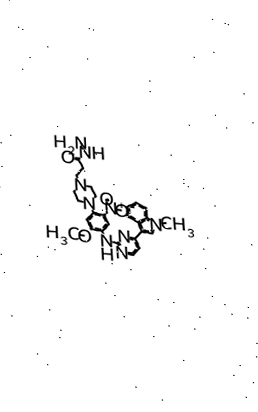 COc1cc(N2CCN(CCC(=O)NN)CC2)c([N+](=O)[O-])cc1Nc1nccc(-c2cn(C)c3ccccc23)n1